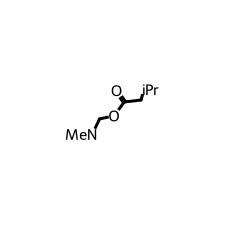 CNCOC(=O)CC(C)C